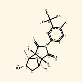 Cc1ccc(N2C(=O)[C@@H]3[C@H](C2=O)[C@@]2(C)C[C@H](O)[C@]3(C)O2)cc1C(F)(F)F